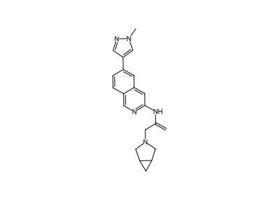 C=C(CN1CC2CC2C1)Nc1cc2cc(-c3cnn(C)c3)ccc2cn1